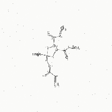 C=CC(=O)OCC(CCCCCCC)(COC(=O)C=C)COC(=O)C=C